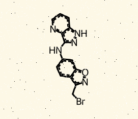 BrCc1noc2cc(Nc3n[nH]c4cccnc34)ccc12